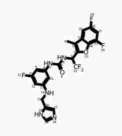 Cc1c(C(NC(=O)Nc2cc(F)cc(NCc3cnc[nH]3)c2)C(F)(F)F)oc2c(F)cc(F)cc12